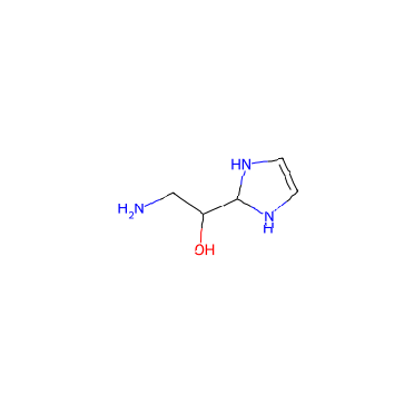 NCC(O)C1NC=CN1